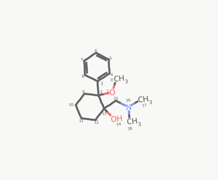 COC1(c2ccccc2)CCCCC1(O)CN(C)C